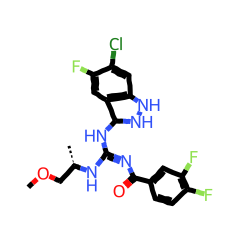 COC[C@H](C)N/C(=N\C(=O)c1ccc(F)c(F)c1)NC1NNc2cc(Cl)c(F)cc21